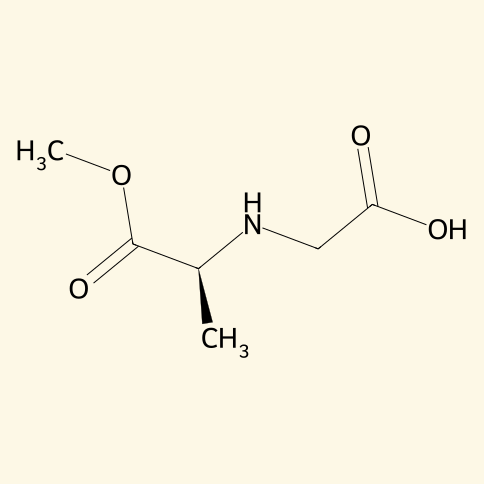 COC(=O)[C@H](C)NCC(=O)O